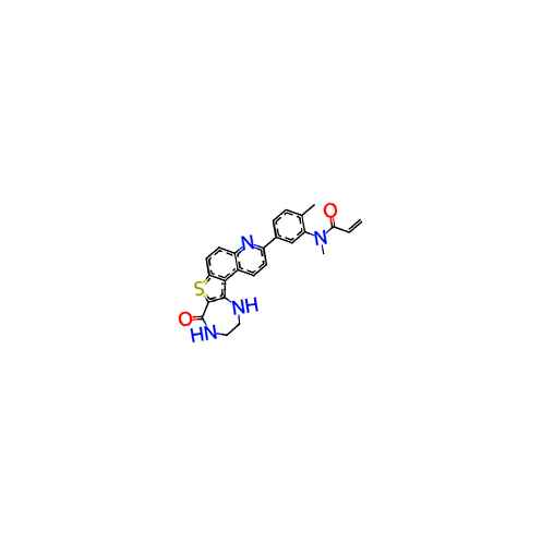 C=CC(=O)N(C)c1cc(-c2ccc3c(ccc4sc5c(c43)NCCNC5=O)n2)ccc1C